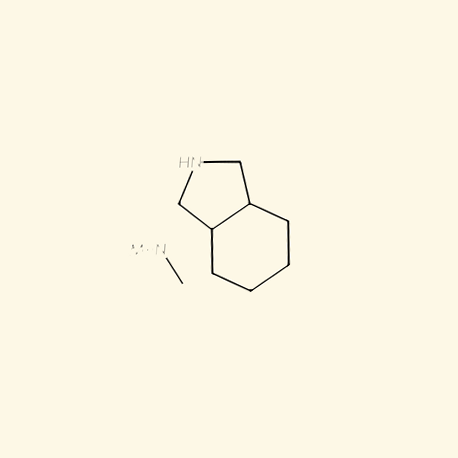 C1CCC2CNCC2C1.CNC